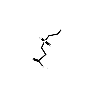 CCCS(=O)(=O)CCC(N)=O